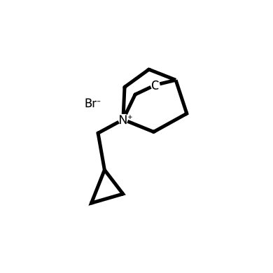 C1C[N+]2(CC3CC3)CCC1CC2.[Br-]